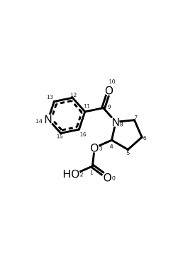 O=C(O)OC1CCCN1C(=O)c1ccncc1